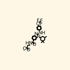 COC(=O)CCNC(=O)c1ccc2nc(Nc3ccc(OC(F)(F)F)cc3)n(C3CC(C)CC(C)(C)C3)c2c1